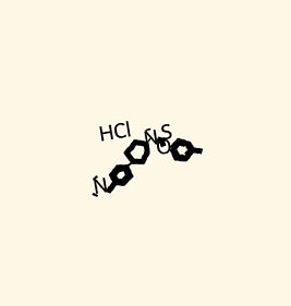 Cc1ccc(OC(=S)N(C)[C@H]2CC[C@H](c3ccc(CN(C)C)cc3)CC2)cc1.Cl